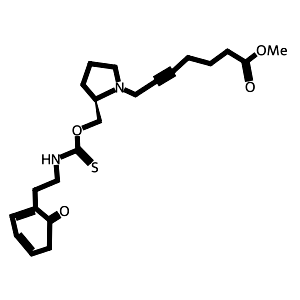 COC(=O)CCCC#CCN1CCC[C@@H]1COC(=S)NCCC1=CC=CCC1=O